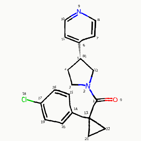 O=C(N1CC[C@H](c2ccncc2)C1)C1(c2ccc(Cl)cc2)CC1